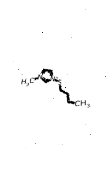 CCCCS[n+]1ccn(C)c1